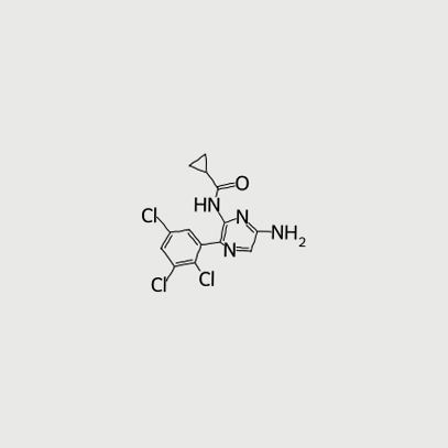 Nc1cnc(-c2cc(Cl)cc(Cl)c2Cl)c(NC(=O)C2CC2)n1